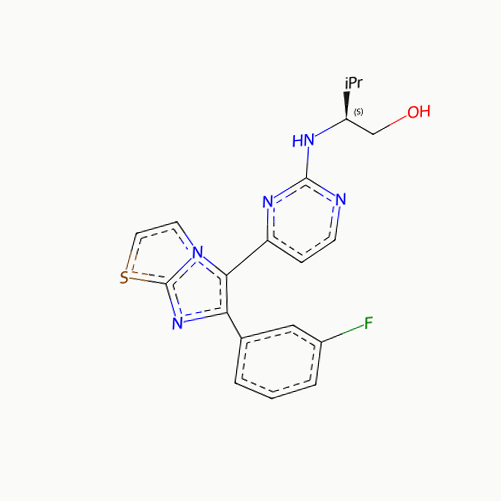 CC(C)[C@@H](CO)Nc1nccc(-c2c(-c3cccc(F)c3)nc3sccn23)n1